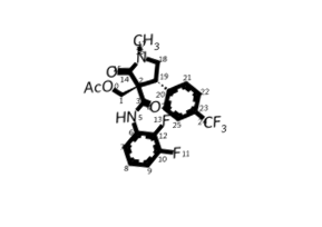 CC(=O)OC[C@@]1(C(=O)Nc2cccc(F)c2F)C(=O)N(C)C[C@@H]1c1ccc(C(F)(F)F)cc1